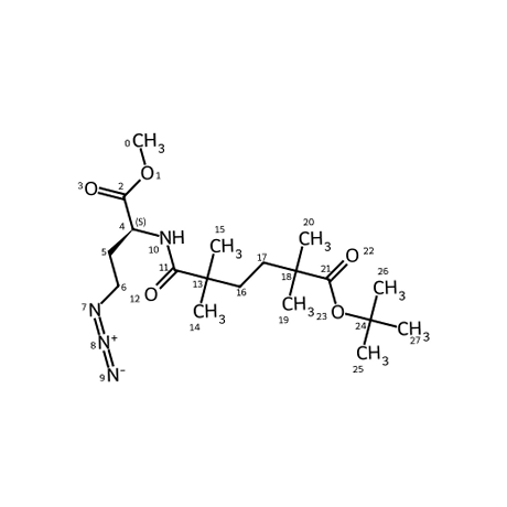 COC(=O)[C@H](CCN=[N+]=[N-])NC(=O)C(C)(C)CCC(C)(C)C(=O)OC(C)(C)C